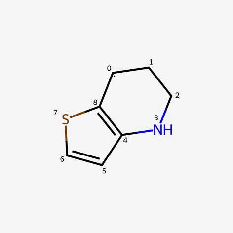 [C]1CCNc2ccsc21